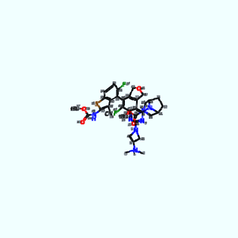 CN(C)C1CN(c2nc(N3C4CCC3CN(C(=O)OC(C)(C)C)C4)c3c4c(c(-c5c(F)ccc6sc(NC(=O)OC(C)(C)C)c(C#N)c56)c(F)c3n2)COC4)C1